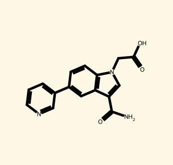 NC(=O)c1cn(CC(=O)O)c2ccc(-c3cccnc3)cc12